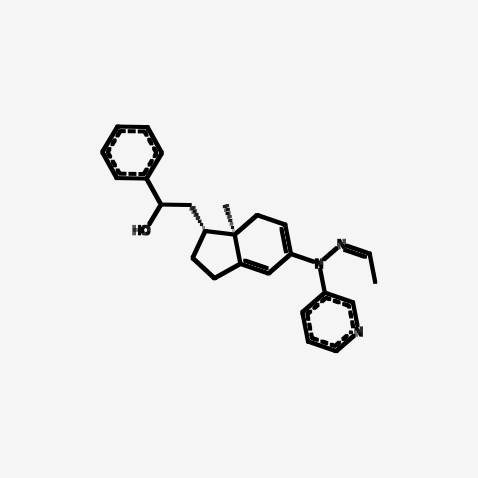 C/C=N\N(C1=CC[C@@]2(C)C(=C1)CC[C@@H]2CC(O)c1ccccc1)c1cccnc1